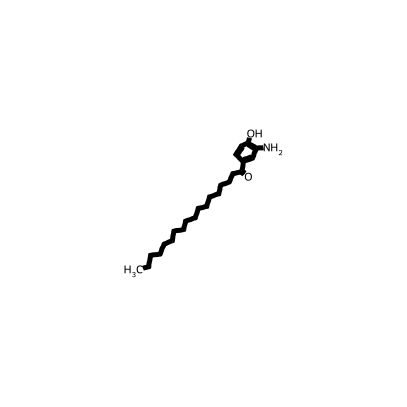 CCCCCCCCCCCCCCCCCC(=O)c1ccc(O)c(N)c1